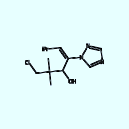 CC(C)C=C(C(O)C(C)(C)CCl)n1cncn1